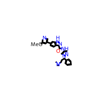 COc1cncc(-c2ccc3c(C(=O)Nc4cnn(C(CCN(C)C)c5ccccc5)c4)n[nH]c3c2)c1